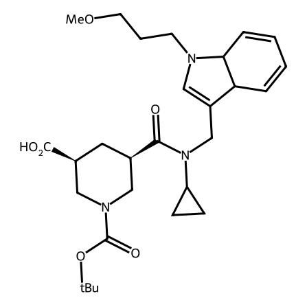 COCCCN1C=C(CN(C(=O)[C@@H]2C[C@H](C(=O)O)CN(C(=O)OC(C)(C)C)C2)C2CC2)C2C=CC=CC21